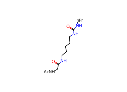 CCCNC(=O)NCCCCCNC(=O)CNC(C)=O